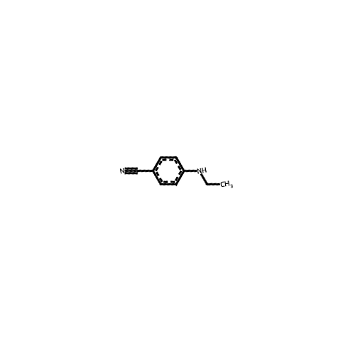 CCNc1[c]cc(C#N)cc1